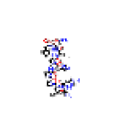 CC(C)C[C@H](NC(=O)[C@H](Cc1c[nH]cn1)NC(=O)CN)C(=O)N1CCC[C@H]1C(=O)N1CCC[C@H]1C(=O)N[C@@H](Cc1c[nH]cn1)C(=O)N1CCC[C@H]1C(=O)N[C@@H](C)C(=O)N[C@@H](CC(N)=O)C(=O)N[C@@H](Cc1ccccc1)C(=O)O